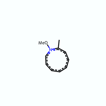 COn1cccccccc1C